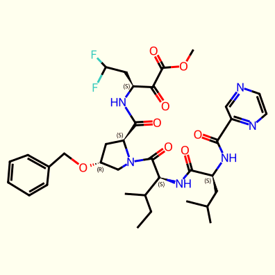 CCC(C)[C@H](NC(=O)[C@H](CC(C)C)NC(=O)c1cnccn1)C(=O)N1C[C@H](OCc2ccccc2)C[C@H]1C(=O)N[C@@H](CC(F)F)C(=O)C(=O)OC